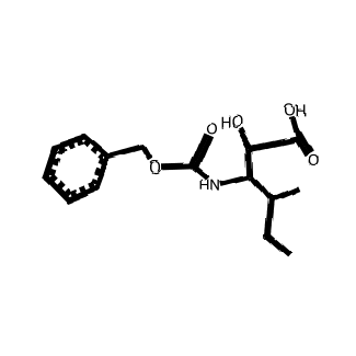 CCC(C)C(NC(=O)OCc1ccccc1)C(O)C(=O)O